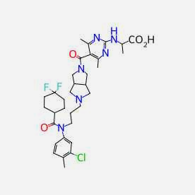 Cc1ccc(N(CCCN2CC3CN(C(=O)c4c(C)nc(NC(C)C(=O)O)nc4C)CC3C2)C(=O)C2CCC(F)(F)CC2)cc1Cl